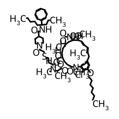 CCCCCCCCOc1cc2cc(c1Cl)N(C)C(=O)C[C@H](OC(=O)[C@@H](C)N(C)C(=O)CCSCC(=O)N1CCC(C(=O)NC(CCC)(CCCCC)C3=C/C=C\C=C/C=C\3)CC1)[C@]1(C)O[C@H]1[C@H](C)[C@@H]1C[C@@](O)(NC(=O)O1)C(OC)/C=C/C=C(\C)C2